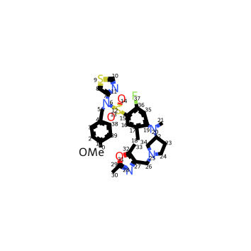 COc1ccc(CN(c2cscn2)S(=O)(=O)c2cc(C)c(N(C)[C@H]3CCN(Cc4nc(C)oc4C)C3)cc2F)cc1